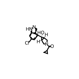 O=C(C1CC1)N1C[C@@H]2[C@H](C1)[C@]2(O)c1cc(Cl)cc2[nH]ncc12